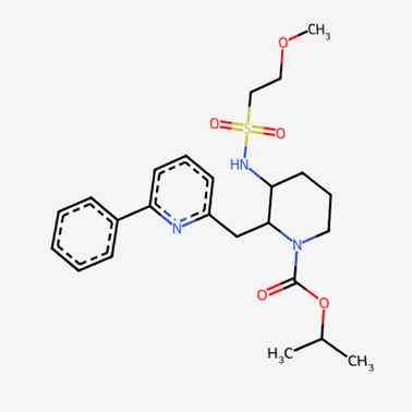 COCCS(=O)(=O)NC1CCCN(C(=O)OC(C)C)C1Cc1cccc(-c2ccccc2)n1